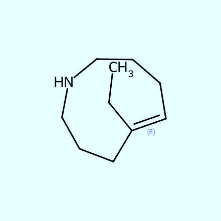 CC/C1=C\CCCNCCC1